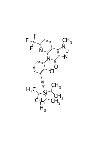 CC(C)[Si](C#Cc1cccc(-n2c(=O)c3ncn(C)c3c3ccc(C(F)(F)F)nc32)c1Cl)(C(C)C)C(C)C